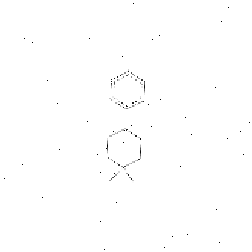 CC1(C)CCC(c2cc[c]cc2)CC1